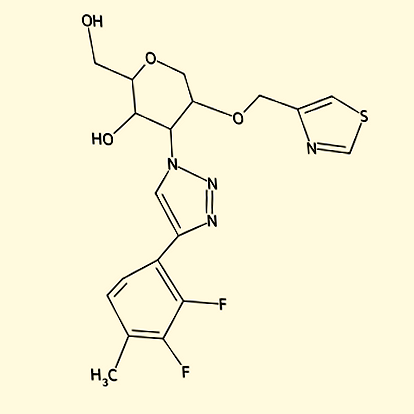 Cc1ccc(-c2cn(C3C(OCc4cscn4)COC(CO)C3O)nn2)c(F)c1F